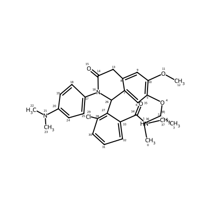 CC[C@@H](C)Oc1cc2c(cc1OC)CC(=O)N(c1ccc(N(C)C)cc1)C2c1c(Cl)cccc1C(=O)NC